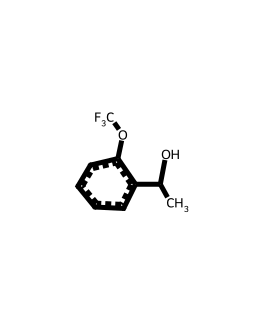 CC(O)c1ccccc1OC(F)(F)F